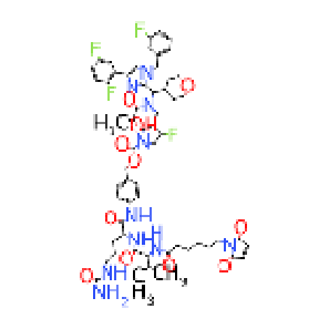 CC(C)[C@H](NC(=O)CCCCCN1C(=O)C=CC1=O)C(=O)N[C@@H](CCCNC(N)=O)C(=O)Nc1ccc(COC(=O)N2C[C@@H](CN(C(=O)[C@H](C)O)[C@@H](c3nc(-c4cc(F)ccc4F)cn3Cc3cccc(F)c3)C3CCOCC3)[C@@H](F)C2)cc1